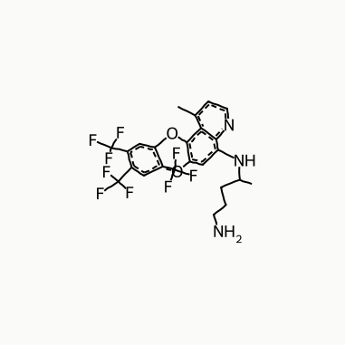 COc1cc(NC(C)CCCN)c2nccc(C)c2c1Oc1cc(C(F)(F)F)c(C(F)(F)F)cc1C(F)(F)F